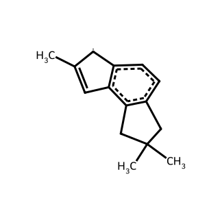 CC1=Cc2c(ccc3c2CC(C)(C)C3)[CH]1